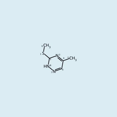 CSC1N=C(C)C=NN1